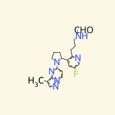 Cc1cnn2ccc(N3CCCC3c3cc(F)cnc3CCCNC=O)nc12